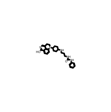 O=C(NCCCNC1CCC(N2CCc3cnc(O)c4cccc2c34)CC1)Nc1ccccc1